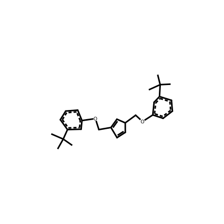 CC(C)(C)c1cccc(OC[C]2C=CC(COc3cccc(C(C)(C)C)c3)=C2)c1